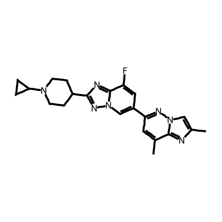 Cc1cn2nc(-c3cc(F)c4nc(C5CCN(C6CC6)CC5)nn4c3)cc(C)c2n1